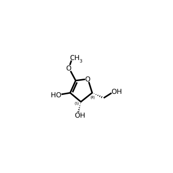 COC1=C(O)[C@@H](O)[C@@H](CO)O1